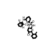 Cc1ccccc1-c1nc(NS(=O)(=O)c2cccc(N[C@@H]3[C@H](C(=O)O)[C@@H]4C=C[C@H]3C4)n2)ccc1C(F)(F)F